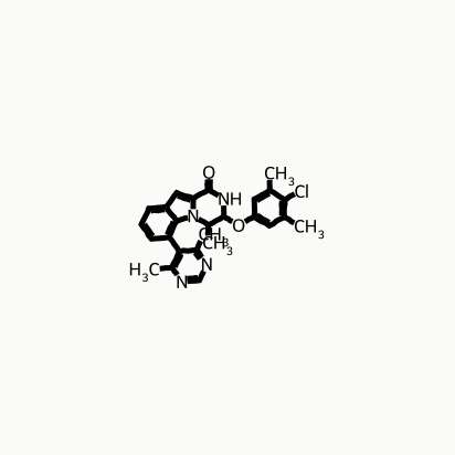 Cc1cc(OC2NC(=O)c3cc4cccc(-c5c(C)ncnc5C)c4n3C2C)cc(C)c1Cl